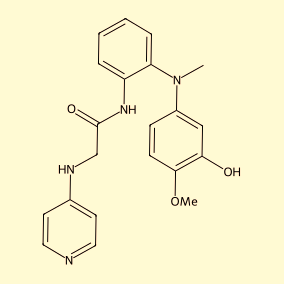 COc1ccc(N(C)c2ccccc2NC(=O)CNc2ccncc2)cc1O